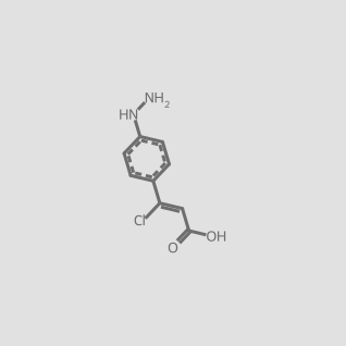 NNc1ccc(/C(Cl)=C/C(=O)O)cc1